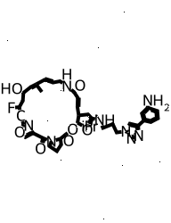 CC1=C\C(O)CC(F)Cc2nc(co2)C(=O)N2CCCC2C(=O)OC(C(C)C)C(CC(=O)NCCCn2cc(-c3cccc(N)c3)nn2)/C=C/C(=O)NC\C=C\1